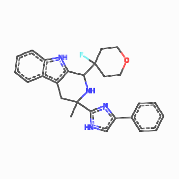 CC1(c2nc(-c3ccccc3)c[nH]2)Cc2c([nH]c3ccccc23)C(C2(F)CCOCC2)N1